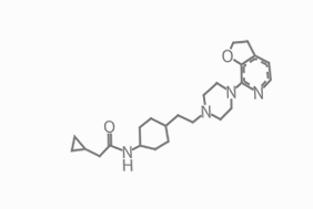 O=C(CC1CC1)NC1CCC(CCN2CCN(c3nccc4c3OCC4)CC2)CC1